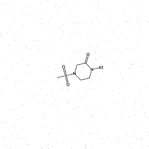 [CH2]CN1CCN(S(C)(=O)=O)CC1=O